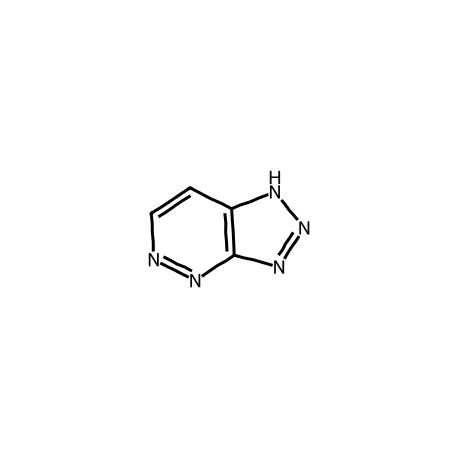 c1cc2[nH]nnc2nn1